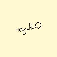 O=C(O)CCNCC1CCCCC1